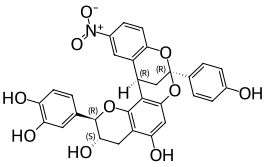 O=[N+]([O-])c1ccc2c(c1)[C@H]1C[C@@](c3ccc(O)cc3)(O2)Oc2cc(O)c3c(c21)O[C@H](c1ccc(O)c(O)c1)[C@@H](O)C3